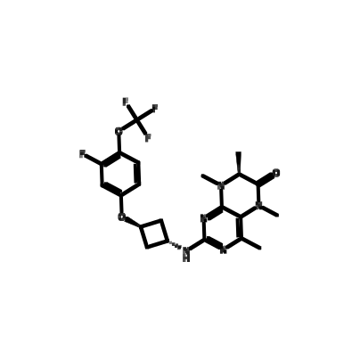 Cc1nc(N[C@H]2C[C@H](Oc3ccc(OC(F)(F)F)c(F)c3)C2)nc2c1N(C)C(=O)[C@H](C)N2C